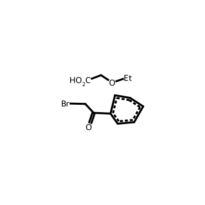 CCOCC(=O)O.O=C(CBr)c1ccccc1